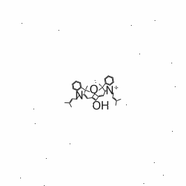 CC(C)=CCN1/C(=C/C2=C(O)C(=C/C3=[N+](CC=C(C)C)c4ccccc4C3(C)C)/C2=O)C(C)(C)c2ccccc21